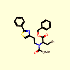 COC(=O)N(CCc1csc(-c2ccccc2)n1)C(CC(C)C)C(=O)OCc1ccccc1